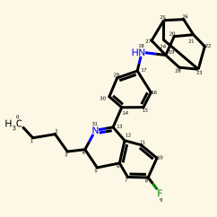 CCCCC1Cc2cc(F)ccc2C(c2ccc(NC34CC5CC(CC(C5)C3)C4)cc2)=N1